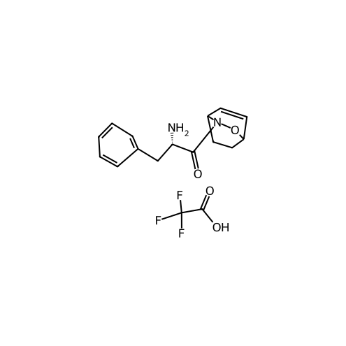 N[C@@H](Cc1ccccc1)C(=O)N1OC2C=CC1CC2.O=C(O)C(F)(F)F